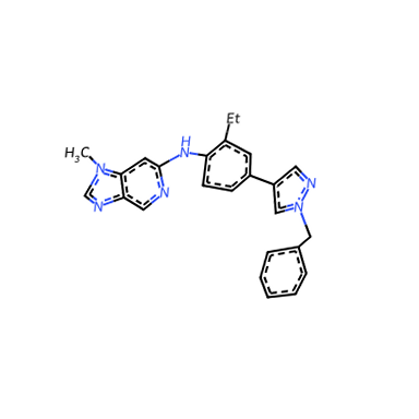 CCc1cc(-c2cnn(Cc3ccccc3)c2)ccc1Nc1cc2c(cn1)ncn2C